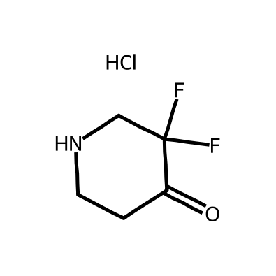 Cl.O=C1CCNCC1(F)F